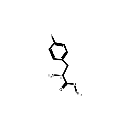 NOC(=O)[C@@H](N)Cc1ccc(I)cc1